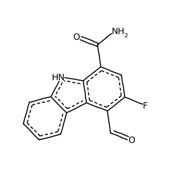 NC(=O)c1cc(F)c(C=O)c2c1[nH]c1ccccc12